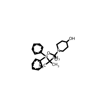 CC(C)(C)[Si](OC(=O)N1CCC(O)CC1)(c1ccccc1)c1ccccc1